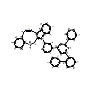 C1=C\c2c(n(-c3cccc(-c4cc(-c5ccccc5)nc(-c5ccccc5-c5ccccc5)c4)c3)c3ccccc23)CNc2ccccc2C/1